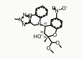 COC(OC)[C@@]1(C)Oc2ccc([N+](=O)[O-])cc2[C@H](N(Cc2nnn(C)n2)c2ccccc2Cl)[C@H]1O